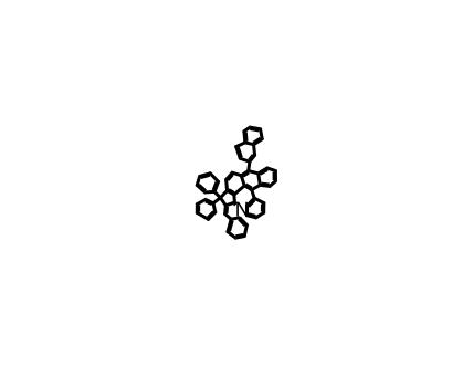 c1ccc(-c2c3ccccc3c(-c3ccc4ccccc4c3)c3ccc4c(c23)-c2nc3ccccc3cc2C4(c2ccccc2)c2ccccc2)cc1